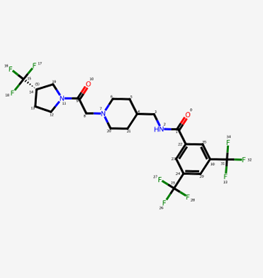 O=C(NCC1CCN(CC(=O)N2CC[C@H](C(F)(F)F)C2)CC1)c1cc(C(F)(F)F)cc(C(F)(F)F)c1